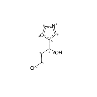 OC(CCCl)c1cnco1